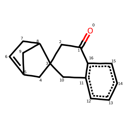 O=C1CC2(CC3=CCC2C3)Cc2ccccc21